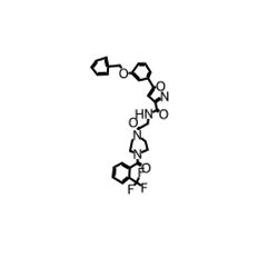 O=C(NCC(=O)N1CCN(C(=O)c2ccccc2C(F)(F)F)CC1)c1cc(-c2cccc(OCc3ccccc3)c2)on1